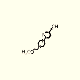 C#Cc1ccc(N2CCN(CCOC)CC2)nc1